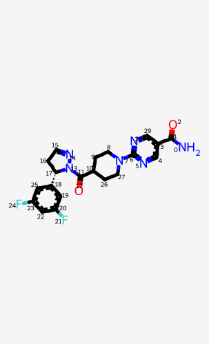 NC(=O)c1cnc(N2CCC(C(=O)N3N=CC[C@H]3c3cc(F)cc(F)c3)CC2)nc1